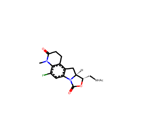 CC(=O)NC[C@@H]1OC(=O)N2c3cc(F)c4c(c3C[C@@H]12)CCC(=O)N4C